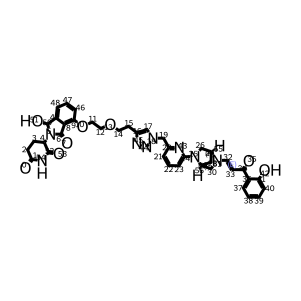 O=C1CCC(N2C(=O)c3c(OCCOCCc4cn(Cc5cccc(N6C[C@H]7C[C@@H]6CN7/C=C/C(=O)c6ccccc6O)n5)nn4)cccc3C2O)C(=O)N1